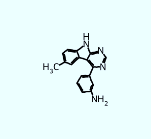 Cc1ccc2[nH]c3ncnc(-c4cccc(N)c4)c3c2c1